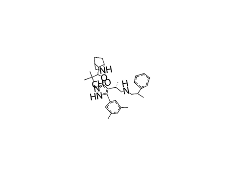 Cc1cc(C)cc(-c2[nH]nc(OC(C3C4CCC3NC4)C(C)(C)C=O)c2[C@H](C)CNCC(C)c2ccccc2)c1